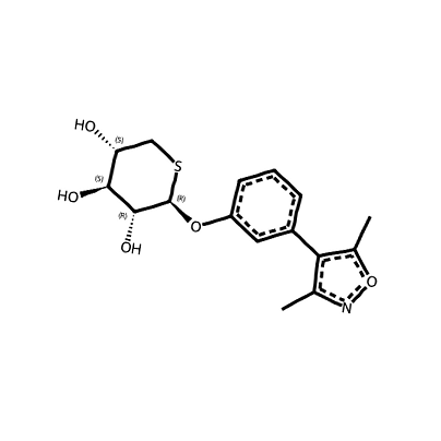 Cc1noc(C)c1-c1cccc(O[C@@H]2SC[C@@H](O)[C@H](O)[C@H]2O)c1